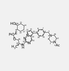 CC(=O)N1CCN(Cc2ccc(-c3cc([C@H]4CC[C@H](O)CC4)n4nc(N[C@@H](C)COC(F)F)ncc34)cc2)CC1